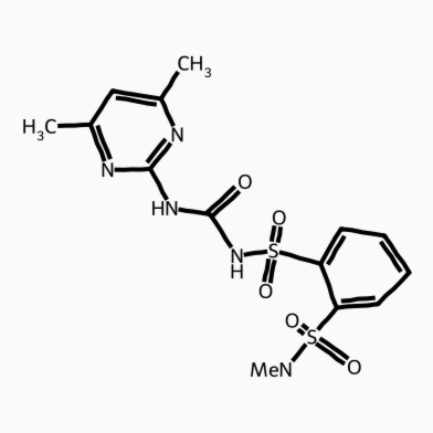 CNS(=O)(=O)c1ccccc1S(=O)(=O)NC(=O)Nc1nc(C)cc(C)n1